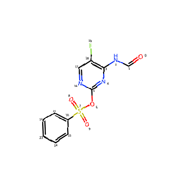 O=CNc1nc(OS(=O)(=O)c2ccccc2)ncc1F